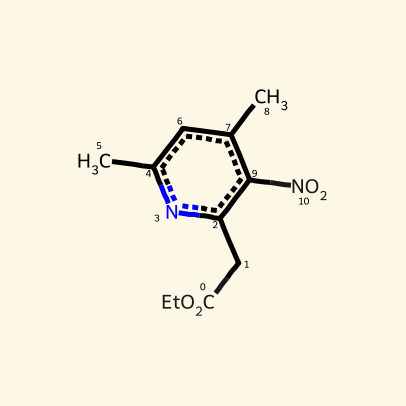 CCOC(=O)Cc1nc(C)cc(C)c1[N+](=O)[O-]